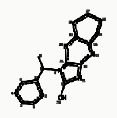 CC(c1ccccc1)n1c(O)nc2nc3ccccc3nc21